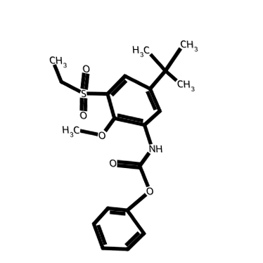 CCS(=O)(=O)c1cc(C(C)(C)C)cc(NC(=O)Oc2ccccc2)c1OC